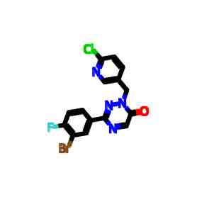 O=c1cnc(-c2ccc(F)c(Br)c2)nn1Cc1ccc(Cl)nc1